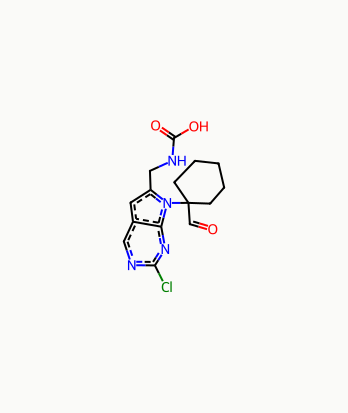 O=CC1(n2c(CNC(=O)O)cc3cnc(Cl)nc32)CCCCC1